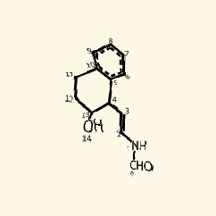 O=CNC=CC1c2ccccc2CCC1O